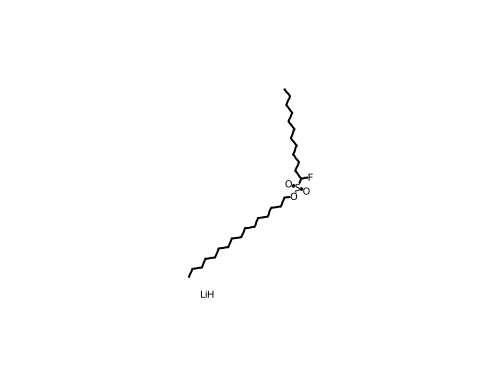 CCCCCCCCCCCCCCCCOS(=O)(=O)C(F)CCCCCCCCCCC.[LiH]